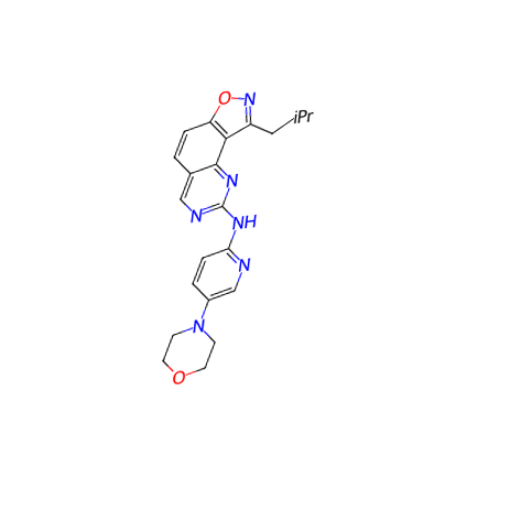 CC(C)Cc1noc2ccc3cnc(Nc4ccc(N5CCOCC5)cn4)nc3c12